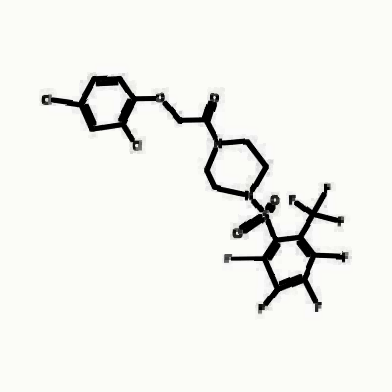 O=C(COc1ccc(Cl)cc1Cl)N1CCN(S(=O)(=O)c2c(F)c(F)c(F)c(F)c2C(F)(F)F)CC1